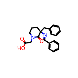 O=C(O)CN1CCCC(Cc2ccccc2)(N=Cc2ccccc2)C1=O